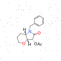 CC(=O)O[C@H]1C(=O)N(Cc2ccccc2)[C@H]2CCCO[C@@H]12